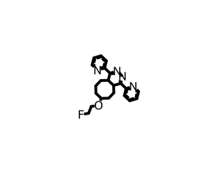 FCCOC1CCCC2C(c3ccccn3)=NN=C(c3ccccn3)C2CC1